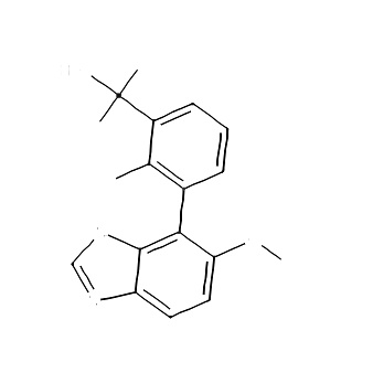 COc1ccc2nc[nH]c2c1-c1cccc(C(C)(C)C)c1F